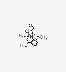 COc1cccc2c1N(CC(Cl)CCl)C(C)(C)CC2C